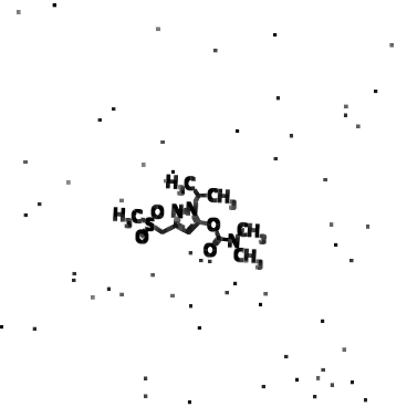 CC(C)n1nc(CS(C)(=O)=O)cc1OC(=O)N(C)C